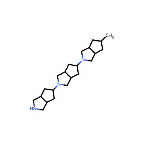 CC1CC2CN(C3CC4CN(C5CC6CNCC6C5)CC4C3)CC2C1